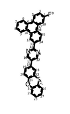 Fc1ccc2c3ccccc3c3cc(-c4ncc(-c5ccc6c(c5)Sc5ccccc5O6)cn4)ccc3c2c1